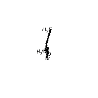 CCCCCCCCCCCCCCCc1ccc(COC(=O)CCCBr)c(OC)c1